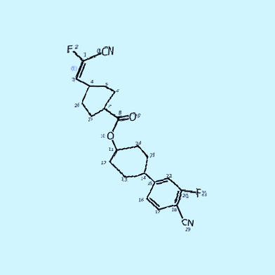 N#C/C(F)=C\C1CCC(C(=O)OC2CCC(c3ccc(C#N)c(F)c3)CC2)CC1